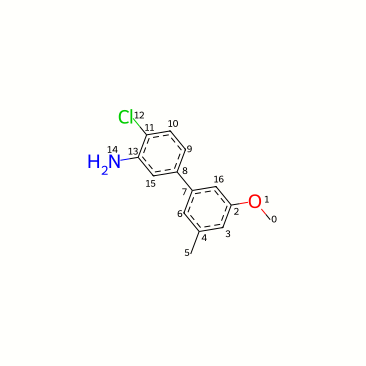 COc1cc(C)cc(-c2ccc(Cl)c(N)c2)c1